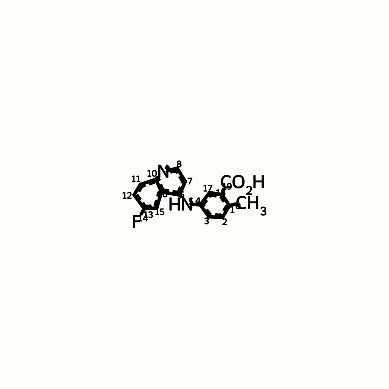 Cc1ccc(Nc2ccnc3ccc(F)cc23)cc1C(=O)O